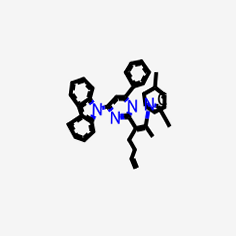 C=CCC/C(=C(\C)N1C(C)CC2CCC1CC2C)c1nc(-c2ccccc2)cc(-n2c3ccccc3c3ccccc32)n1